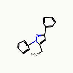 CCOC(=O)Cc1cc(-c2ccccc2)nn1-c1ccccc1